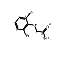 CC(C)c1cccc(C(C)C)c1OCC(N)=O